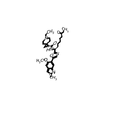 CCC(=O)CCCCC[C@H](NC(=O)[C@H]1CC12CCN(CC)CC2)c1ncc(-c2cc3nn(C)cc3cc2OC)o1